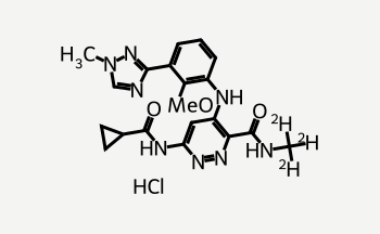 Cl.[2H]C([2H])([2H])NC(=O)c1nnc(NC(=O)C2CC2)cc1Nc1cccc(-c2ncn(C)n2)c1OC